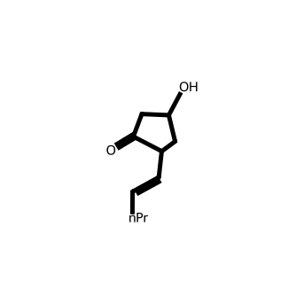 CCCC=CC1CC(O)CC1=O